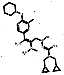 Cc1nc(/C(N)=C(\CN(N)/N=C(\N)N(CC2CC2)CC2CC2)N(C)N)ccc1OC1CCCCC1